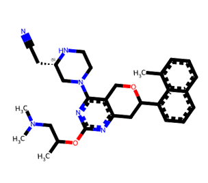 Cc1cccc2cccc(C3Cc4nc(OC(C)CN(C)C)nc(N5CCN[C@@H](CC#N)C5)c4CO3)c12